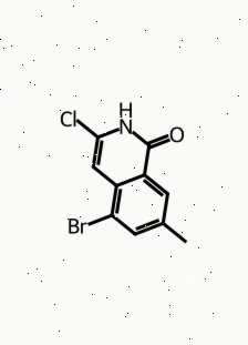 Cc1cc(Br)c2cc(Cl)[nH]c(=O)c2c1